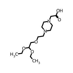 CCOC(COCCN1CCN(CC(=O)O)CC1)OCC